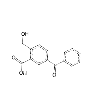 O=C(c1ccccc1)c1ccc(CO)c(C(=O)O)c1